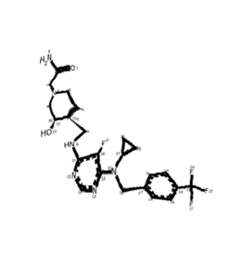 NC(=O)CN1CC[C@@H](CNc2ncnc(N(Cc3ccc(C(F)(F)F)cc3)C3CC3)c2F)[C@@H](O)C1